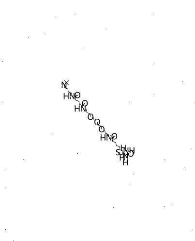 CN(CCCCNC(=O)CCCC(=O)NCCCOCCOCCOCCCNC(=O)CCCC[C@@H]1SC[C@@H]2NC(=O)N[C@@H]21)C(C)(C)C